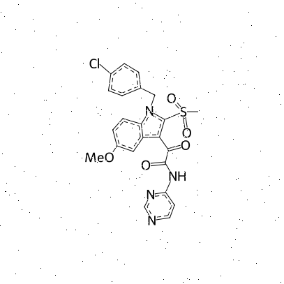 COc1ccc2c(c1)c(C(=O)C(=O)Nc1ccncn1)c(S(C)(=O)=O)n2Cc1ccc(Cl)cc1